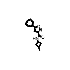 CC1CC(NC(=O)c2cc(-c3ccccc3)on2)C1